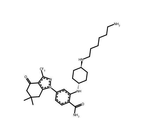 CC1(C)CC(=O)c2c(C(F)(F)F)nn(-c3ccc(C(N)=O)c(N[C@H]4CC[C@H](NCCCCCCN)CC4)c3)c2C1